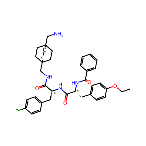 CCOc1ccc(C[C@@H](NC(=O)c2ccccc2)C(=O)N[C@@H](Cc2ccc(F)cc2)C(=O)NCC23CCC(CN)(CC2)CC3)cc1